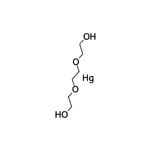 OCCOCCOCCO.[Hg]